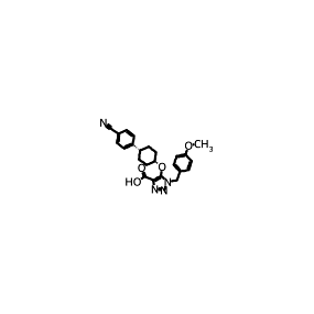 COc1ccc(Cn2nnc(C(=O)O)c2O[C@H]2CC[C@@H](c3ccc(C#N)cc3)CC2)cc1